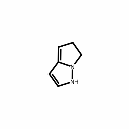 [C]1=CNN2CCC=C12